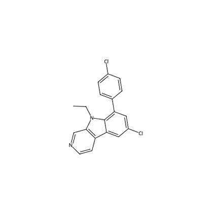 CCn1c2cnccc2c2cc(Cl)cc(-c3ccc(Cl)cc3)c21